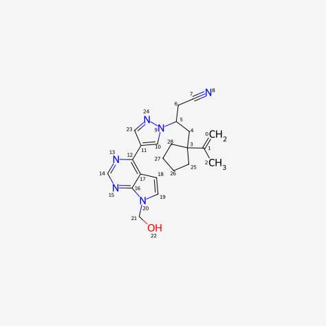 C=C(C)C1(CC(CC#N)n2cc(-c3ncnc4c3ccn4CO)cn2)CCCC1